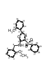 COc1ccccc1CNc1oc(-c2ccccc2C)nc1S(=O)(=O)c1ccccc1